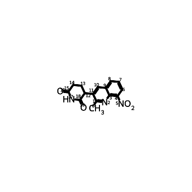 Cc1nc2c([N+](=O)[O-])cccc2cc1C1CCC(=O)NC1=O